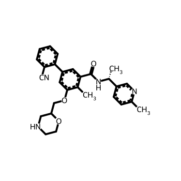 Cc1ccc([C@@H](C)NC(=O)c2cc(-c3ccccc3C#N)cc(OCC3CNCCO3)c2C)cn1